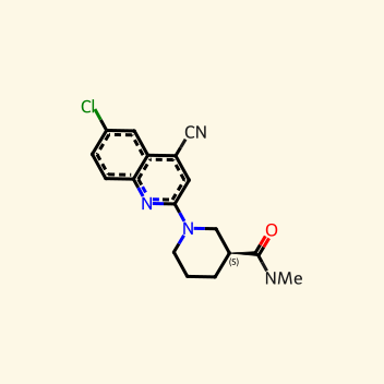 CNC(=O)[C@H]1CCCN(c2cc(C#N)c3cc(Cl)ccc3n2)C1